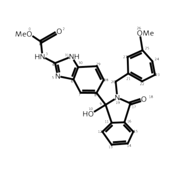 COC(=O)Nc1nc2cc(C3(O)c4ccccc4C(=O)N3Cc3cccc(OC)c3)ccc2[nH]1